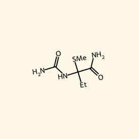 CCC(NC(N)=O)(SC)C(N)=O